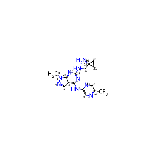 Cn1ncc2c(Nc3cnc(C(F)(F)F)cn3)nc(NCC3(N)CC3)nc21